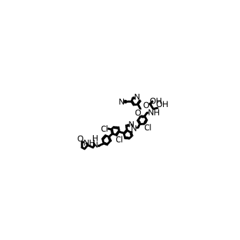 N#Cc1cncc(COc2cc(Cn3ncc4c(-c5ccc(Cl)c(-c6ccc(CNCC7CCC(=O)N7)cc6)c5Cl)cccc43)c(Cl)cc2CNC(CO)C(=O)O)c1